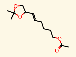 CC(=O)OCCCCC=CC1COC(C)(C)O1